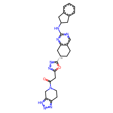 O=C(Cc1nnc([C@H]2CCc3cnc(NC4Cc5ccccc5C4)nc3C2)o1)N1CCc2nn[nH]c2C1